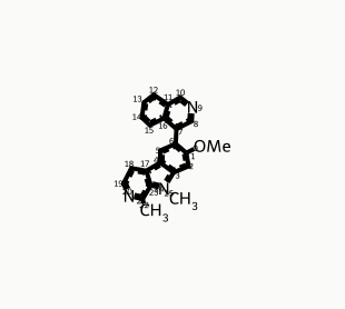 COc1cc2c(cc1-c1cncc3ccccc13)c1ccnc(C)c1n2C